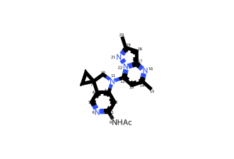 CC(=O)Nc1cc2c(cn1)C1(CC1)CN2c1cc(C)nc2cc(C)nn12